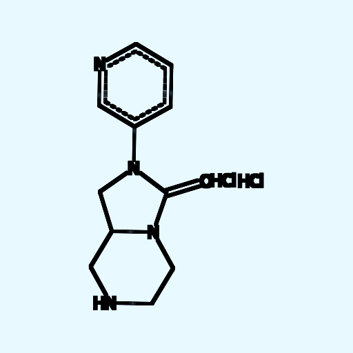 Cl.Cl.O=C1N(c2cccnc2)CC2CNCCN12